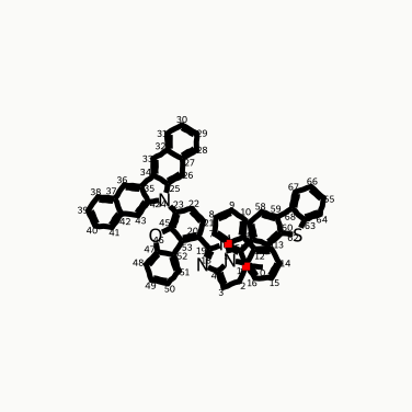 CC1C/C=C(n2c3ccccc3c3ccccc32)/N=C(c2ccc(-n3c4cc5ccccc5cc4c4cc5ccccc5cc43)c3oc4ccccc4c23)\N=C/1c1ccc2c(c1)sc1ccccc12